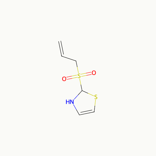 C=CCS(=O)(=O)C1NC=CS1